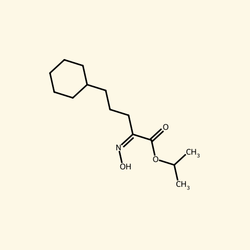 CC(C)OC(=O)C(CCCC1CCCCC1)=NO